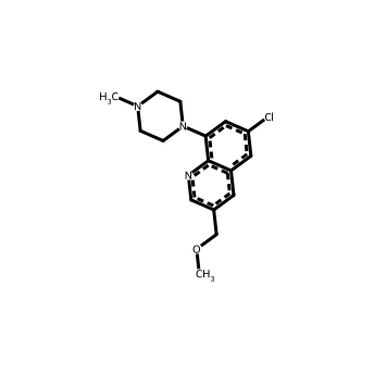 COCc1cnc2c(N3CCN(C)CC3)cc(Cl)cc2c1